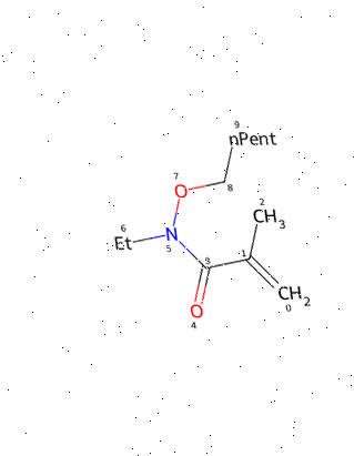 C=C(C)C(=O)N(CC)OCCCCCC